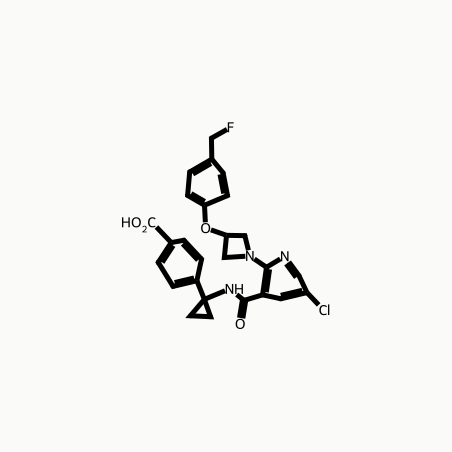 O=C(O)c1ccc(C2(NC(=O)c3cc(Cl)cnc3N3CC(Oc4ccc(CF)cc4)C3)CC2)cc1